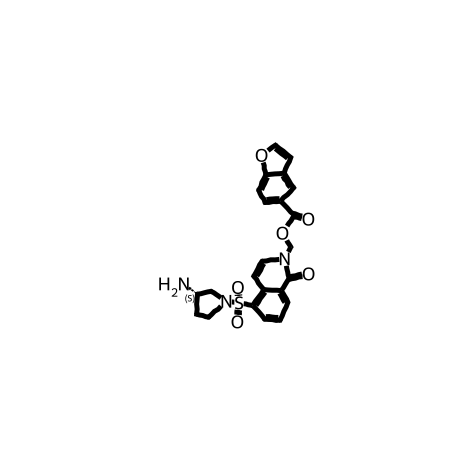 N[C@H]1CCN(S(=O)(=O)c2cccc3c(=O)n(COC(=O)c4ccc5occc5c4)ccc23)C1